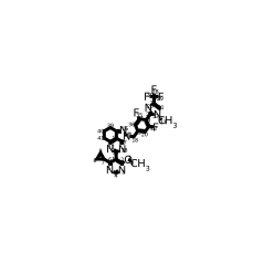 COc1ncnc(C2CC2)c1-c1nc2c3c(nn(Cc4cc(F)c(-c5nc(C(F)(F)F)cn5C)c(F)c4)c3n1)CCC2